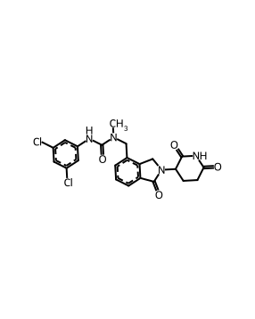 CN(Cc1cccc2c1CN(C1CCC(=O)NC1=O)C2=O)C(=O)Nc1cc(Cl)cc(Cl)c1